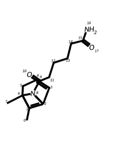 CC1=C2C=CCC1(C)N2C(=O)CCCCC(N)=O